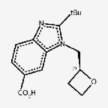 CC(C)(C)c1nc2ccc(C(=O)O)cc2n1C[C@@H]1CCO1